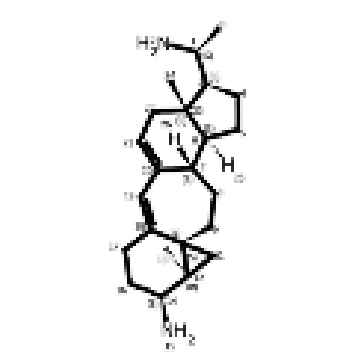 C[C@H](N)[C@H]1CC[C@H]2[C@@H]3CC[C@@]45C[C@@]4(C)[C@@H](N)CCC5=CC3=CC[C@]12C